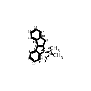 C[Si](C)(C)n1c2c(c3ccccc31)-c1ccccc1C2